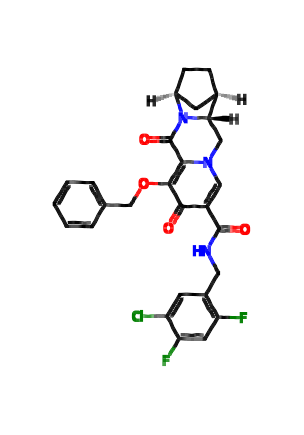 O=C(NCc1cc(Cl)c(F)cc1F)c1cn2c(c(OCc3ccccc3)c1=O)C(=O)N1[C@H]3CC[C@H](C3)[C@@H]1C2